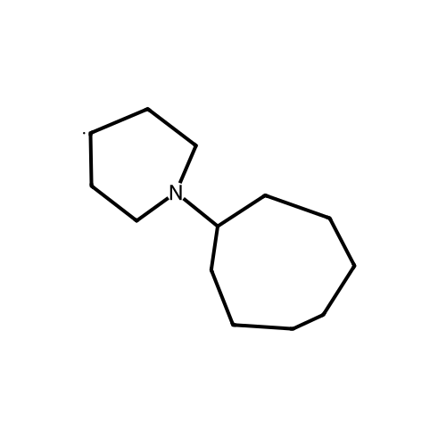 [CH]1CCN(C2CCCCCCC2)CC1